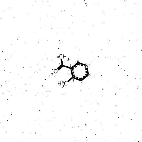 CC(=O)c1cnccc1C